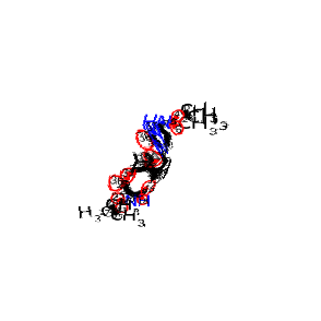 CC(C)(C)OC(=O)Nc1ccn([C@H]2C[C@@H]3COC(=O)C(NC(=O)OC(C)(C)C)CC(=O)OC[C@H]3O2)c(=O)n1